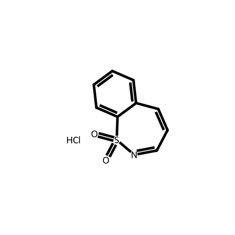 Cl.O=S1(=O)N=CC=Cc2ccccc21